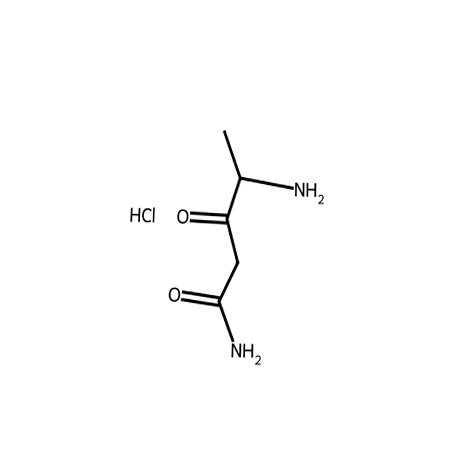 CC(N)C(=O)CC(N)=O.Cl